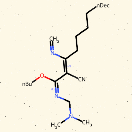 C=N/C(CCCCCCCCCCCCCC)=C(C#N)\C(=N/CN(C)C)OCCCC